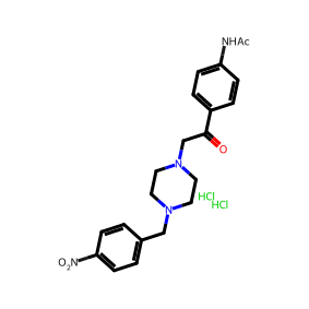 CC(=O)Nc1ccc(C(=O)CN2CCN(Cc3ccc([N+](=O)[O-])cc3)CC2)cc1.Cl.Cl